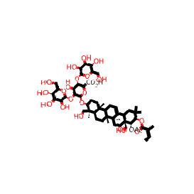 C/C=C(/C)C(=O)O[C@H]1[C@H](OC(C)=O)[C@@]2(CO)C(CC1(C)C)C1=CCC3[C@@]4(C)CC[C@H](O[C@@H]5OC(C(=O)O)[C@@H](O[C@@H]6OC(CO)[C@@H](O)C(O)C6O)C(O)C5O[C@@H]5OC(CO)[C@@H](O)C(O)C5O)[C@](C)(CO)C4CC[C@@]3(C)[C@]1(C)C[C@H]2O